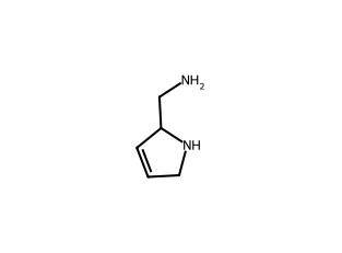 NCC1C=CCN1